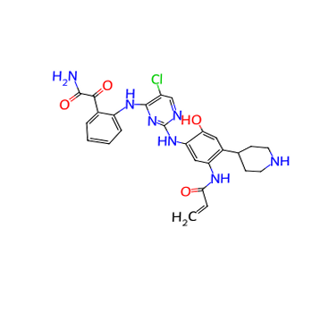 C=CC(=O)Nc1cc(Nc2ncc(Cl)c(Nc3ccccc3C(=O)C(N)=O)n2)c(O)cc1C1CCNCC1